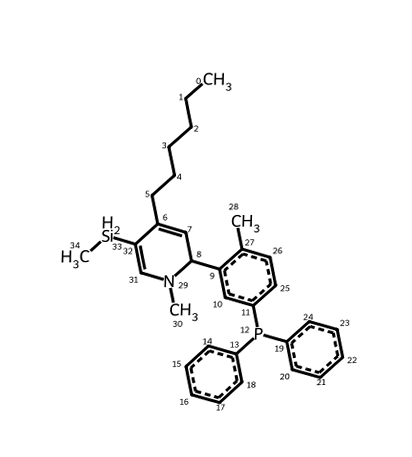 CCCCCCC1=CC(c2cc(P(c3ccccc3)c3ccccc3)ccc2C)N(C)C=C1[SiH2]C